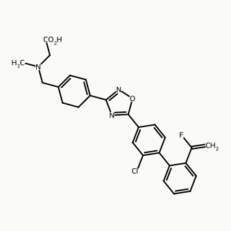 C=C(F)c1ccccc1-c1ccc(-c2nc(C3=CC=C(CN(C)CC(=O)O)CC3)no2)cc1Cl